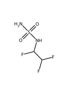 NS(=O)(=O)NC(F)C(F)F